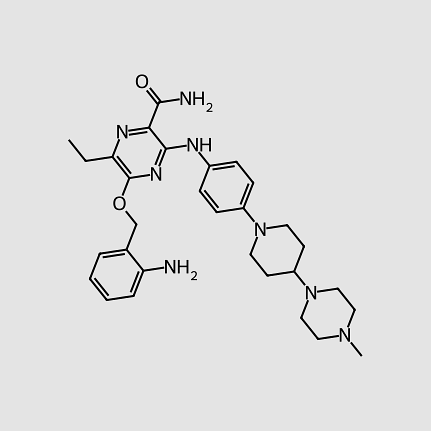 CCc1nc(C(N)=O)c(Nc2ccc(N3CCC(N4CCN(C)CC4)CC3)cc2)nc1OCc1ccccc1N